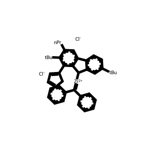 CCCc1cc2c(c(C3=CC=CC3)c1C(C)(C)C)[CH]([Zr+2]=[C](c1ccccc1)c1ccccc1)c1cc(C(C)(C)C)ccc1-2.[Cl-].[Cl-]